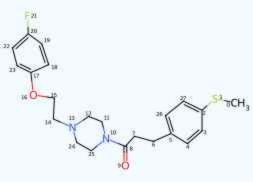 CSc1ccc(CCC(=O)N2CCN(CCOc3ccc(F)cc3)CC2)cc1